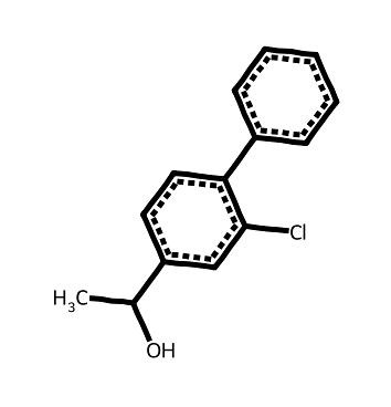 CC(O)c1ccc(-c2ccccc2)c(Cl)c1